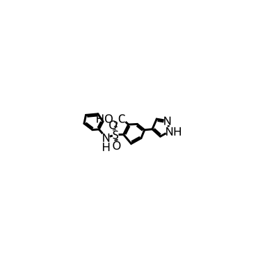 O=C(O)c1cc(-c2cn[nH]c2)ccc1S(=O)(=O)Nc1ccccc1